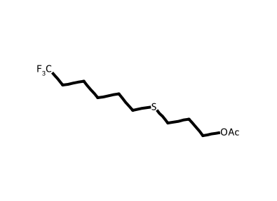 CC(=O)OCCCSCCCCCC(F)(F)F